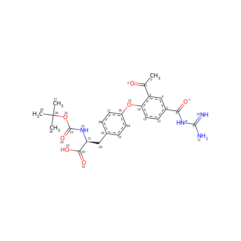 CC(=O)c1cc(C(=O)NC(=N)N)ccc1Oc1ccc(C[C@H](NC(=O)OC(C)(C)C)C(=O)O)cc1